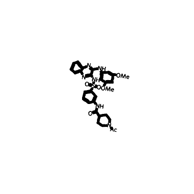 COc1cc(Nc2nc3ccccc3nc2NS(=O)(=O)c2cccc(NC(=O)C3CCN(C(C)=O)CC3)c2)cc(OC)c1